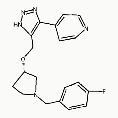 Fc1ccc(CN2CC[C@H](OCc3[nH]nnc3-c3ccncc3)C2)cc1